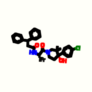 CC(C)[C@@H](NC(=O)CC(c1ccccc1)c1ccccc1)C(=O)N1CC[C@](O)(c2ccc(Cl)cc2)C(C)(C)C1